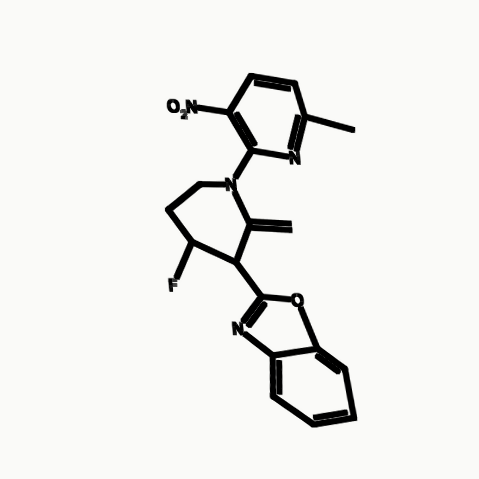 C=C1C(c2nc3ccccc3o2)C(F)CCN1c1nc(C)ccc1[N+](=O)[O-]